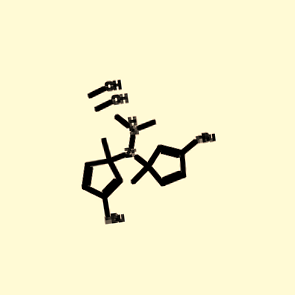 CCCCC1=C[C](C)([Zr]([SiH](C)C)[C]2(C)C=CC(CCCC)=C2)C=C1.CO.CO